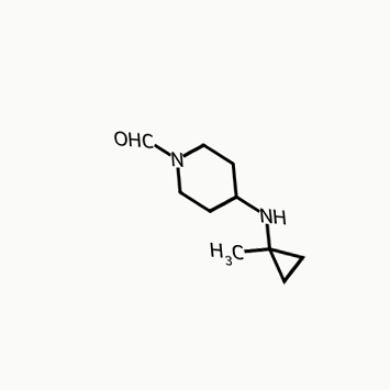 CC1(NC2CCN(C=O)CC2)CC1